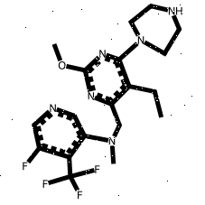 CCc1c(CN(C)c2cncc(F)c2C(F)(F)F)nc(OC)nc1N1CCNCC1